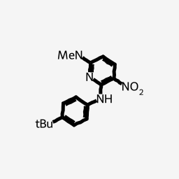 CNc1ccc([N+](=O)[O-])c(Nc2ccc(C(C)(C)C)cc2)n1